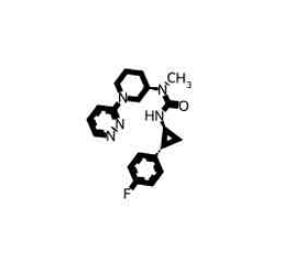 CN(C(=O)N[C@H]1C[C@@H]1c1ccc(F)cc1)[C@@H]1CCCN(c2cccnn2)C1